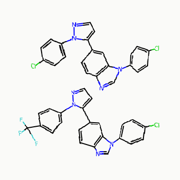 Clc1ccc(-n2nccc2-c2ccc3ncn(-c4ccc(Cl)cc4)c3c2)cc1.FC(F)(F)c1ccc(-n2nccc2-c2ccc3ncn(-c4ccc(Cl)cc4)c3c2)cc1